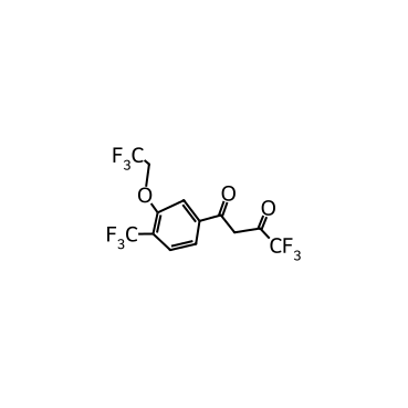 O=C(CC(=O)C(F)(F)F)c1ccc(C(F)(F)F)c(OCC(F)(F)F)c1